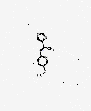 C/C(=C\c1ccc(OC(F)(F)F)cn1)c1cscn1